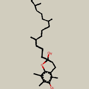 Cc1c(C)c2c(c(C)c1O)CCC(O)(CCCC(C)CCCC(C)CCCC(C)C)O2